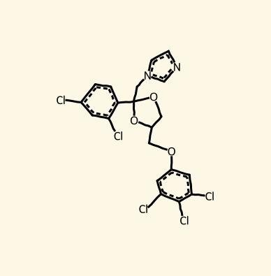 Clc1ccc(C2(Cn3ccnc3)OCC(COc3cc(Cl)c(Cl)c(Cl)c3)O2)c(Cl)c1